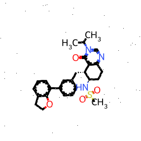 CC(C)n1cnc2c(c1=O)[C@@H](Cc1cccc(-c3cccc4c3OCC4)c1)[C@@H](NS(C)(=O)=O)CC2